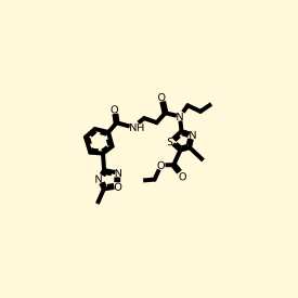 CCCN(C(=O)CCNC(=O)c1cccc(-c2noc(C)n2)c1)c1nc(C)c(C(=O)OCC)s1